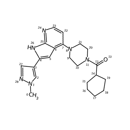 Cn1cc(-c2cc3c(N4CCN(C(=O)C5CCCCC5)CC4)ccnc3[nH]2)cn1